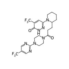 O=C(CCC1CCCCN1c1cc(C(F)(F)F)c(=O)[nH]n1)N1CCN(c2ncc(C(F)(F)F)cn2)CC1